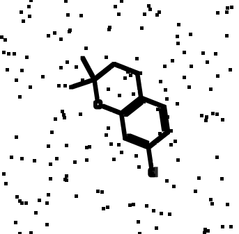 CC1(C)C[CH]c2ccc(Cl)cc2O1